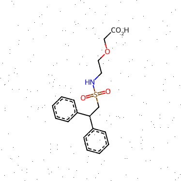 O=C(O)COCCNS(=O)(=O)CC(c1ccccc1)c1ccccc1